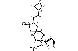 CNC1(c2cccs2)CCC2(CC1)CC(=O)N(CCC1CCC1)C2